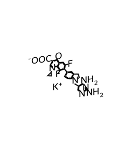 Nc1ncc(CN2CCc3cc(-c4c(F)cc5c(=O)c(C(=O)[O-])cn(C6CC6)c5c4F)ccc32)c(N)n1.[K+]